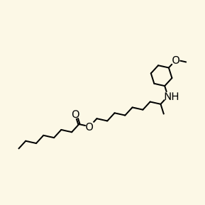 CCCCCCCC(=O)OCCCCCCCC(C)NC1CCCC(OC)C1